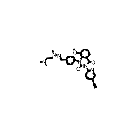 C#Cc1ccc(NC(=O)c2cccc(OC)c2N(C=O)c2ccc(C=NN(C)CCN(C)C)cc2)nc1